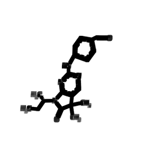 CC[C@H](C)N1C(=O)C(C)(C)c2cnc(Nc3ccc(C=O)cc3)nc21